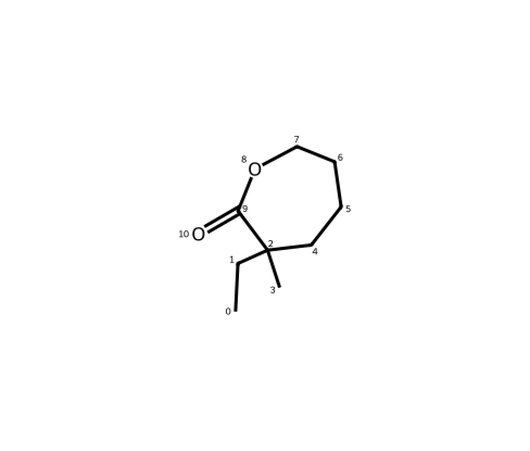 CCC1(C)CCCCOC1=O